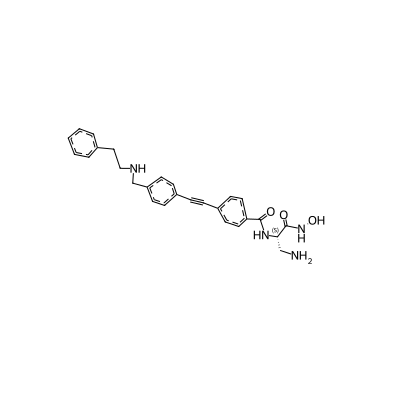 NC[C@H](NC(=O)c1ccc(C#Cc2ccc(CNCCc3ccccc3)cc2)cc1)C(=O)NO